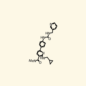 CNC(=O)c1ccc(-c2ccc(NC(=O)NCc3cccnc3)cc2)nc1NCC1CC1